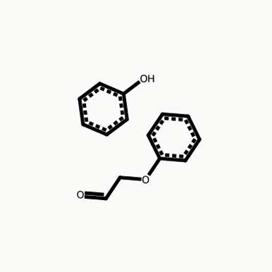 O=CCOc1ccccc1.Oc1ccccc1